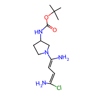 CC(C)(C)OC(=O)NC1CCN(/C(N)=C/C=C(\N)Cl)C1